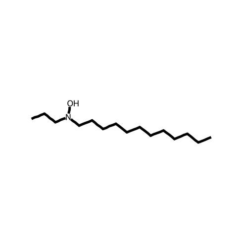 CCCCCCCCCCCCN(O)CCC